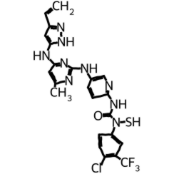 C=Cc1cc(Nc2cc(C)nc(Nc3ccc(NC(=O)N(S)c4ccc(Cl)c(C(F)(F)F)c4)nc3)n2)[nH]n1